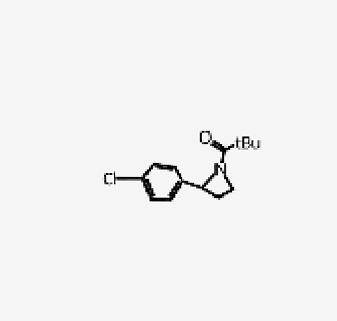 CC(C)(C)C(=O)N1CCC1c1ccc(Cl)cc1